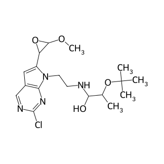 COC1OC1c1cc2cnc(Cl)nc2n1CCNC(O)C(C)OC(C)(C)C